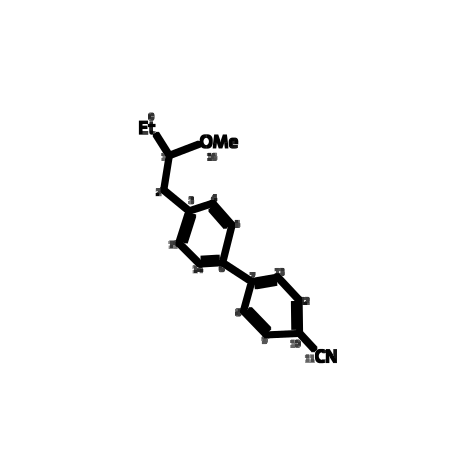 CCC(Cc1ccc(-c2ccc(C#N)cc2)cc1)OC